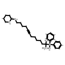 CC(C)(CCCCCC#CCCCCOC1CCCCO1)[Si](O)(c1ccccc1)c1ccccc1